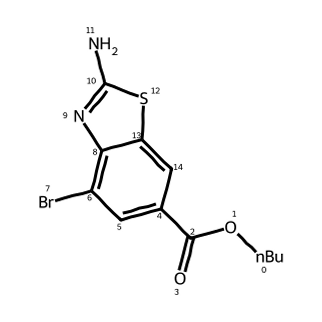 CCCCOC(=O)c1cc(Br)c2nc(N)sc2c1